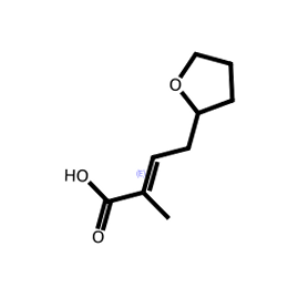 C/C(=C\CC1CCCO1)C(=O)O